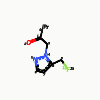 CC(C)C(=O)Cn1nccc1C[18F]